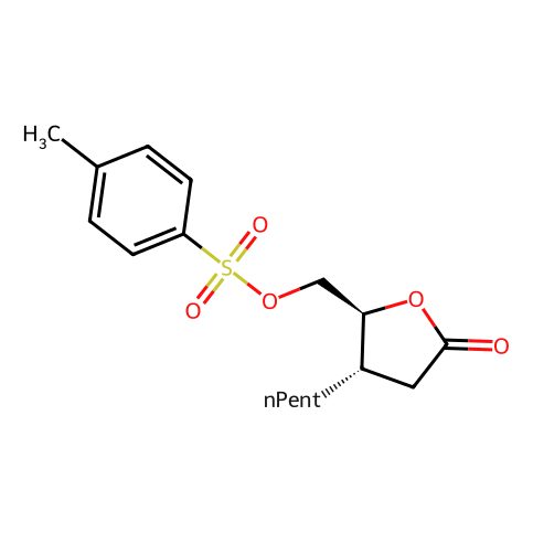 CCCCC[C@H]1CC(=O)O[C@@H]1COS(=O)(=O)c1ccc(C)cc1